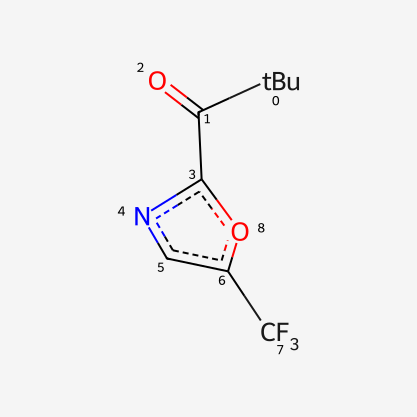 CC(C)(C)C(=O)c1ncc(C(F)(F)F)o1